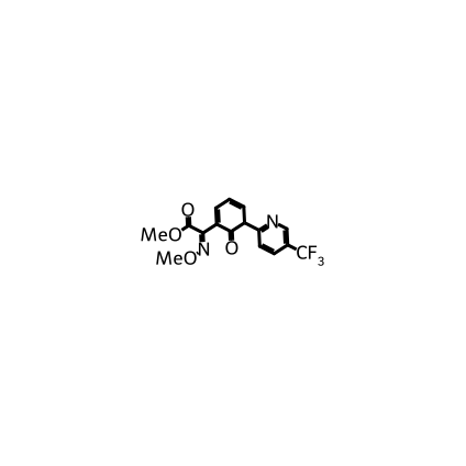 CON=C(C(=O)OC)C1=CC=CC(c2ccc(C(F)(F)F)cn2)C1=O